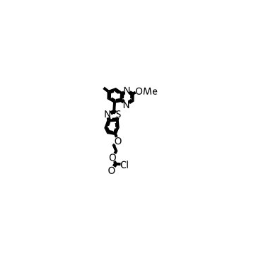 COc1cnc2c(-c3nc4ccc(OCCOC(=O)Cl)cc4s3)cc(C)cc2n1